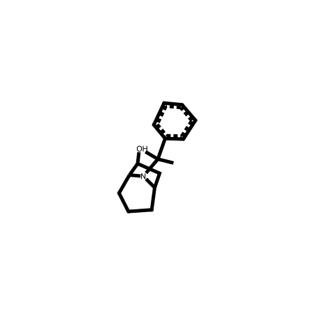 CC(C)(c1ccccc1)N1C2CCCC1C(O)C2